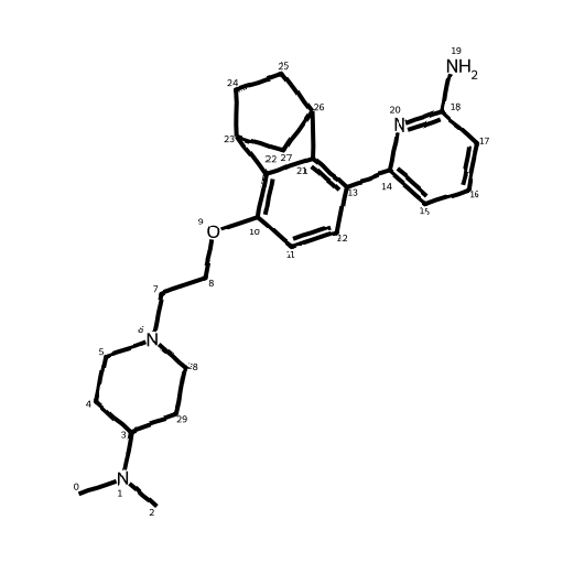 CN(C)C1CCN(CCOc2ccc(-c3cccc(N)n3)c3c2C2CCC3C2)CC1